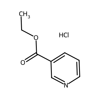 CCOC(=O)c1cccnc1.Cl